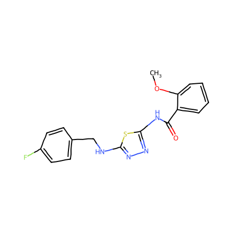 COc1ccccc1C(=O)Nc1nnc(NCc2ccc(F)cc2)s1